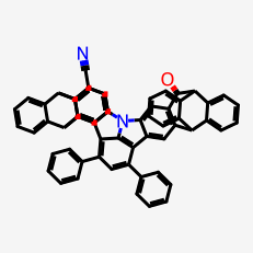 N#Cc1cc2c(c3c1C1c4ccccc4C3c3ccccc31)c1c(-c3ccccc3)cc(-c3ccccc3)c3c4cc5c(cc4n2c31)C(=O)C1c2ccccc2C5c2ccccc21